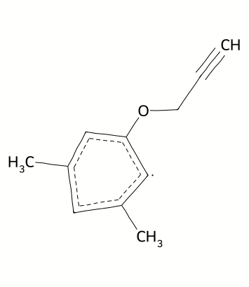 C#CCOc1[c]c(C)cc(C)c1